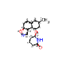 Cc1ccc2c(ccc3onc([C@H]4CCC(=O)NC4=O)c32)c1